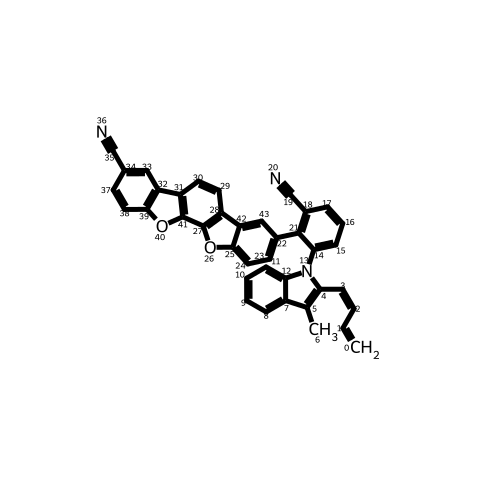 C=C/C=C\c1c(C)c2ccccc2n1-c1cccc(C#N)c1-c1ccc2oc3c(ccc4c5cc(C#N)ccc5oc43)c2c1